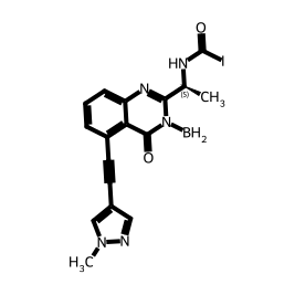 Bn1c([C@H](C)NC(=O)I)nc2cccc(C#Cc3cnn(C)c3)c2c1=O